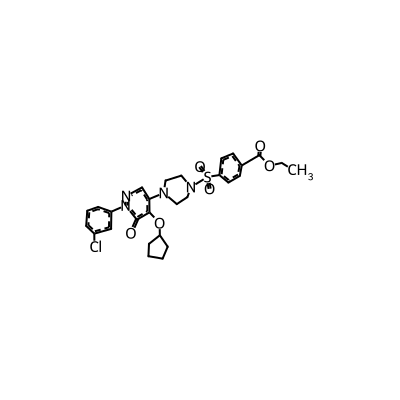 CCOC(=O)c1ccc(S(=O)(=O)N2CCN(c3cnn(-c4cccc(Cl)c4)c(=O)c3OC3CCCC3)CC2)cc1